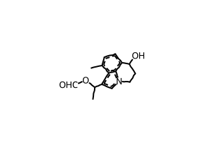 Cc1ccc2c3c1c(C(C)OC=O)cn3CCC2O